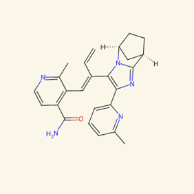 C=C/C(=C\c1c(C(N)=O)ccnc1C)c1c(-c2cccc(C)n2)nc2n1[C@H]1CC[C@@H]2C1